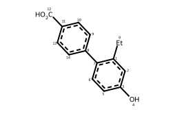 CCc1cc(O)ccc1-c1ccc(C(=O)O)cc1